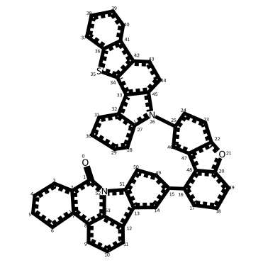 O=c1c2ccccc2c2cccc3c4cc(-c5cccc6oc7ccc(-n8c9ccccc9c9c%10sc%11ccccc%11c%10ccc98)cc7c56)ccc4n1c23